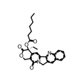 CCCCCCC(=O)O[C@]1(CC)C(=O)OCc2c1cc1n(c2=O)Cc2cc3ccccc3nc2-1